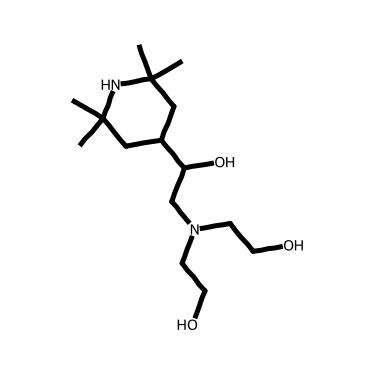 CC1(C)CC(C(O)CN(CCO)CCO)CC(C)(C)N1